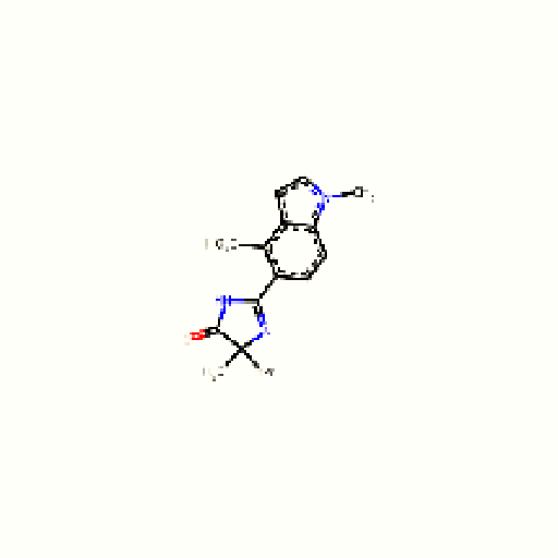 CC(C)C1(C)N=C(c2ccc3c(ccn3C)c2C(=O)O)NC1=O